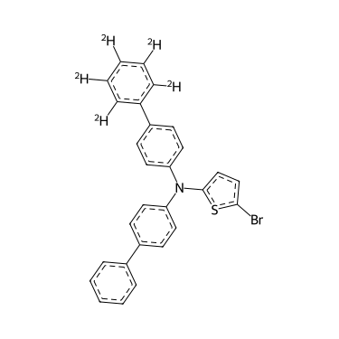 [2H]c1c([2H])c([2H])c(-c2ccc(N(c3ccc(-c4ccccc4)cc3)c3ccc(Br)s3)cc2)c([2H])c1[2H]